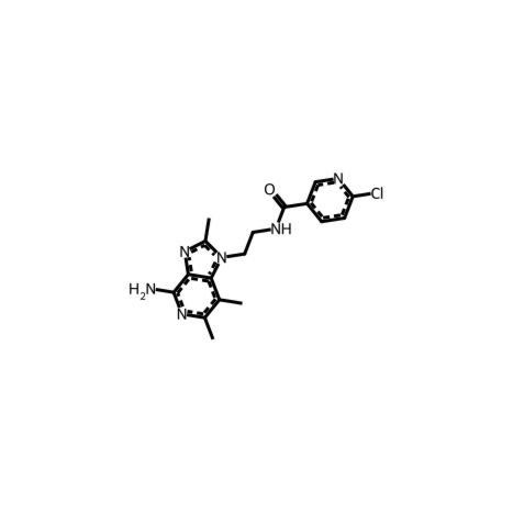 Cc1nc(N)c2nc(C)n(CCNC(=O)c3ccc(Cl)nc3)c2c1C